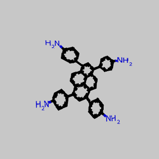 Nc1ccc(-c2cc(-c3ccc(N)cc3)c3ccc4c(-c5ccc(N)cc5)cc(-c5ccc(N)cc5)c5ccc2c3c54)cc1